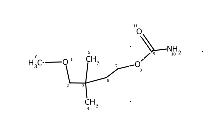 COCC(C)(C)CCOC(N)=O